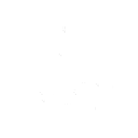 Cc1cc(C)c(CNC(O)c2cc(C3CCN(C4CCNCC4)CC3)cc3c2cnn3C2CCCC2)c(=O)[nH]1